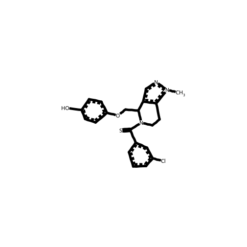 Cn1ncc2c1CCN(C(=S)c1cccc(Cl)c1)C2COc1ccc(O)cc1